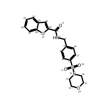 O=C(NCc1ccc(S(=O)(=O)N2CCOCC2)cc1)c1cc2ccccc2o1